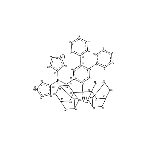 PC(c1cc(-c2ccccc2)c(-c2ccccc2)cc1CP(c1cc[nH]c1)c1cc[nH]c1)(C12CC3CC(CC(C3)C1)C2)C12CC3CC(CC(C3)C1)C2